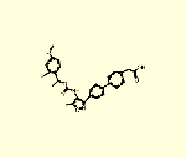 COc1ccc(C(C)OC(=O)Nc2c(-c3ccc(-c4ccc(CC(=O)O)cc4)cc3)noc2C)c(F)c1